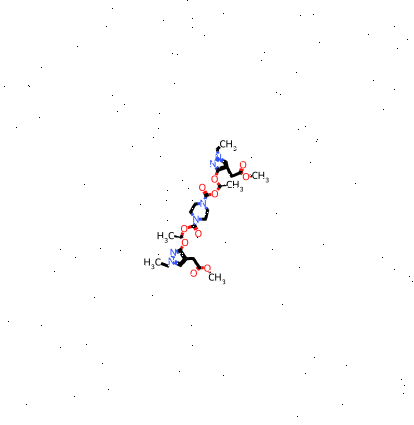 CCn1cc(CC(=O)OC)c(O[C@@H](C)OC(=O)N2CCN(C(=O)O[C@H](C)Oc3nn(CC)cc3CC(=O)OC)CC2)n1